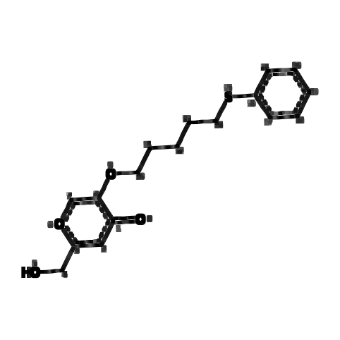 O=c1cc(CO)occ1OCCCCCSc1ccccc1